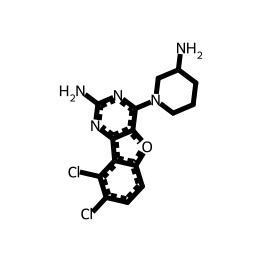 Nc1nc(N2CCCC(N)C2)c2oc3ccc(Cl)c(Cl)c3c2n1